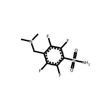 CN(C)Cc1c(F)c(F)c(S(N)(=O)=O)c(F)c1F